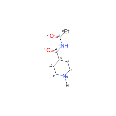 CCC(=O)NC(=O)C1CCN(C)CC1